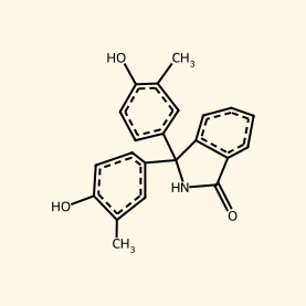 Cc1cc(C2(c3ccc(O)c(C)c3)NC(=O)c3ccccc32)ccc1O